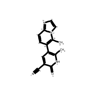 Cc1[nH]c(=O)c(C#N)cc1-c1ccc2nccn2c1C